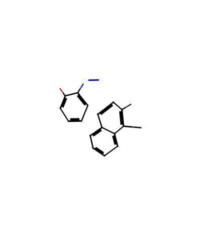 NNc1ccccc1O.O=Cc1ccc2ccccc2c1S(=O)(=O)O